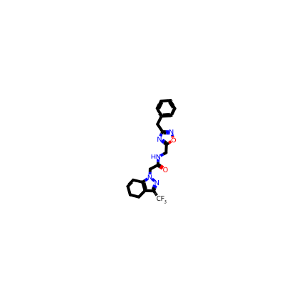 O=C(Cn1nc(C(F)(F)F)c2c1CCCC2)NCc1nc(Cc2ccccc2)no1